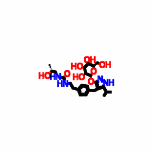 CC(C)c1[nH]nc(O[C@@H]2O[C@H](CO)[C@@H](O)[C@H](O)[C@H]2O)c1Cc1ccc(CCNC(=O)NC[C@@H](C)O)cc1